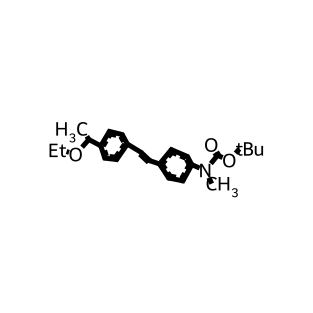 CCOC(C)c1ccc(/C=C/c2ccc(N(C)C(=O)OC(C)(C)C)cc2)cc1